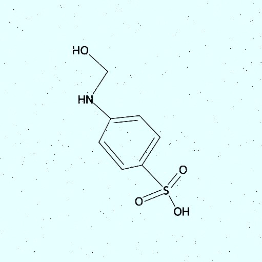 O=S(=O)(O)c1ccc(NCO)cc1